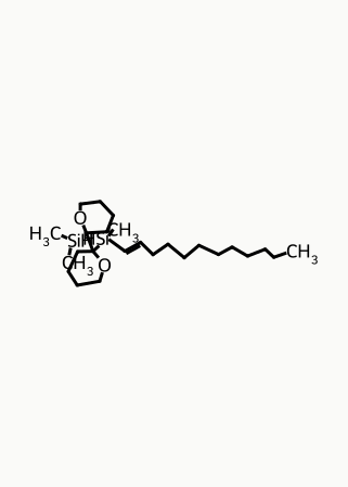 CCCCCCCCCCC=C[SiH](C)C1(C2([SiH](C)C)CCCCO2)CCCCO1